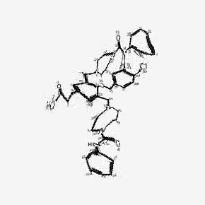 O=C(O)Cc1cc(CN2CCN(C(=O)Nc3ccccc3)CC2)c(OCc2ccc(Cl)cc2)c(CN2CCN(C(=O)Nc3ccccc3)CC2)c1